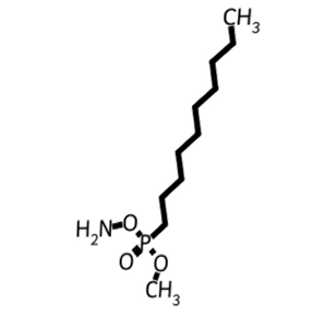 CCCCCCCCCCP(=O)(OC)ON